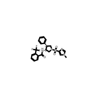 Cn1cnc(S(=O)(=O)N2C[C@H](NC(=O)c3ccccc3C(F)(F)F)[C@@H](c3ccccc3)C2)c1